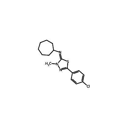 Cn1nc(-c2ccc(Cl)cc2)sc1=NC1CCCCCC1